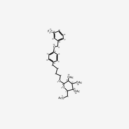 CC(=O)OCC1OC(OCCCCc2ccc(OCc3cccc(C(F)(F)F)c3)cc2)C(OC(C)=O)C(OC(C)=O)C1OC(C)=O